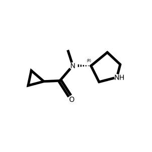 CN(C(=O)C1CC1)[C@@H]1CCNC1